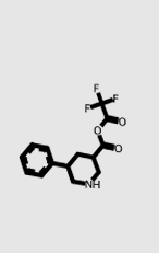 O=C(OC(=O)C(F)(F)F)C1CNCC(c2ccccc2)C1